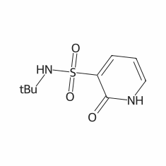 CC(C)(C)NS(=O)(=O)c1ccc[nH]c1=O